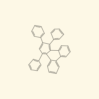 c1ccc(-c2cc(-c3ccccc3)c3c4ccccc4c4ccccc4c3c2-c2ccccc2)cc1